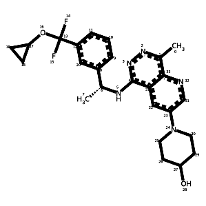 Cc1nnc(N[C@H](C)c2cccc(C(F)(F)OC3CC3)c2)c2cc(N3CCC(O)CC3)cnc12